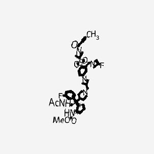 CC#CC(=O)N1CC(S(=O)(=O)c2ccc(N3CC(CN4CCC([C@@](CNC(C)=O)(c5cccc(F)c5)[C@H]5CCC[C@@H]5NC(=O)OC)CC4)C3)cc2CN2CC(F)C2)C1